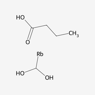 CCCC(=O)O.O[CH](O)[Rb]